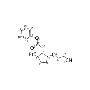 [CH2]CC1C[CH]C(OCCC#N)C1CC(=O)Oc1ccccc1